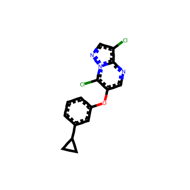 Clc1cnn2c(Cl)c(Oc3cccc(C4CC4)c3)cnc12